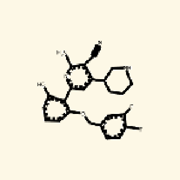 N#Cc1c(C2CCCNC2)cc(-c2c(O)cccc2OCc2ccc(F)c(F)c2)nc1N